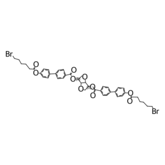 O=C(CCCCCBr)Oc1ccc(-c2ccc(C(=O)O[C@H]3COC4C3OC[C@H]4OC(=O)c3ccc(-c4ccc(OC(=O)CCCCCBr)cc4)cc3)cc2)cc1